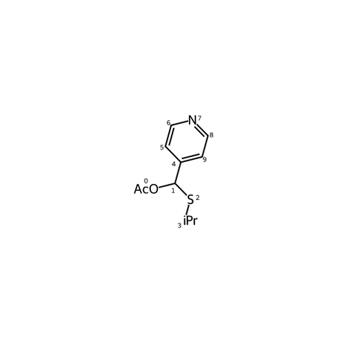 CC(=O)OC(SC(C)C)c1ccncc1